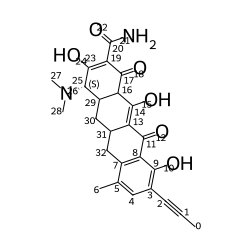 CC#Cc1cc(C)c2c(c1O)C(=O)C1=C(O)C3C(=O)C(C(N)=O)=C(O)[C@@H](N(C)C)C3CC1C2